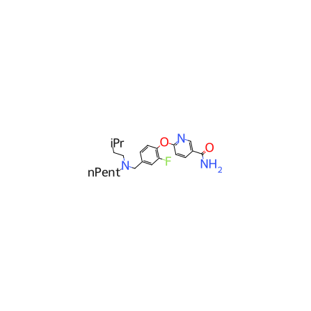 CCCCCN(CCC(C)C)Cc1ccc(Oc2ccc(C(N)=O)cn2)c(F)c1